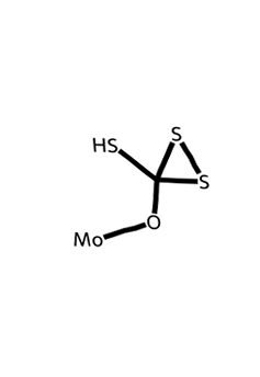 SC1([O][Mo])SS1